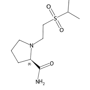 CC(C)S(=O)(=O)CCN1CCC[C@@H]1C(N)=O